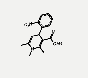 COC(=O)C1=C(C)N(C)C(C)=CC1c1ccccc1[N+](=O)[O-]